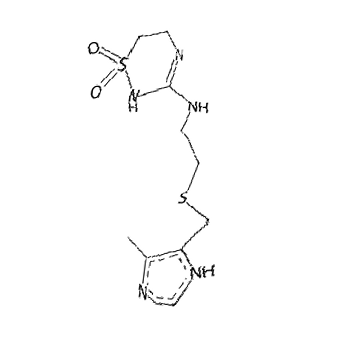 Cc1nc[nH]c1CSCCNC1=NCCS(=O)(=O)N1